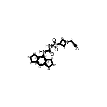 N#CCN1CC(S(=O)(=O)NC(=O)Nc2c3c(cc4c2CCC4)CCC3)C1